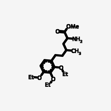 CCOc1ccc(CCC(C)CC(N)C(=O)OC)c(OCC)c1OCC